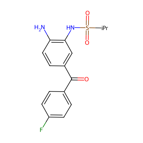 CC(C)S(=O)(=O)Nc1cc(C(=O)c2ccc(F)cc2)ccc1N